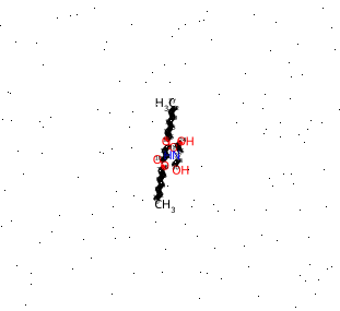 CCCCCCC=COC(=O)CCC(=O)OC=CCCCCCC.OCCNCCO